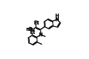 CCCC/C(CC)=C(/c1ccc2[nH]ccc2c1)N(C)c1c(C)cccc1CC